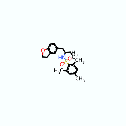 CCC(Cc1ccc2c(c1)CCO2)NS(=O)(=O)c1c(C)cc(C)cc1C